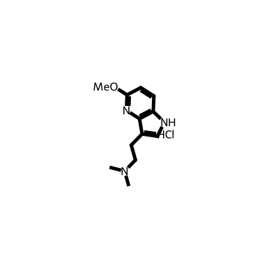 COc1ccc2[nH]cc(CCN(C)C)c2n1.Cl